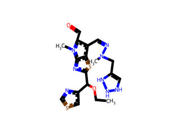 CCOC(c1cscn1)c1nc2c(s1)c(/C=N\N(C)CC1=CNNN1)c(C=O)n2C